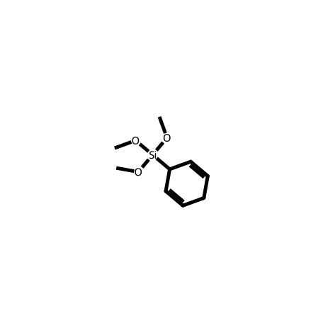 CO[Si](OC)(OC)C1C=CCC=C1